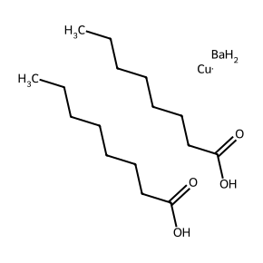 CCCCCCCC(=O)O.CCCCCCCC(=O)O.[BaH2].[Cu]